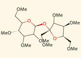 COCC1O[C@@H](O[C@@]2(COC)O[C@H](COC)[C@H](OC)C2OC)C(OC)C(OC)[C@@H]1OC